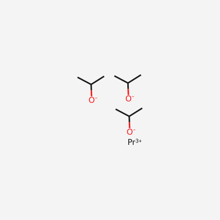 CC(C)[O-].CC(C)[O-].CC(C)[O-].[Pr+3]